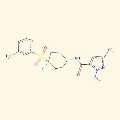 Cn1nc(C(F)(F)F)cc1C(=O)N[C@H]1CC[C@](F)(S(=O)(=O)c2cccc(C(F)(F)F)c2)CC1